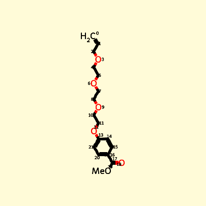 C=CCOCCOCCOCCOc1ccc(C(=O)OC)cc1